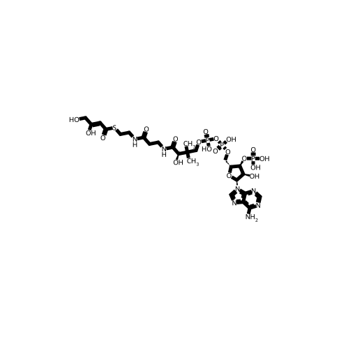 CC(C)(COP(=O)(O)OP(=O)(O)OC[C@H]1O[C@@H](n2cnc3c(N)ncnc32)[C@H](O)[C@@H]1OP(=O)(O)O)[C@@H](O)C(=O)NCCC(=O)NCCSC(=O)/C=C(\O)CO